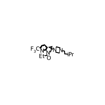 CCC(=O)N(CC1(N2CCN(CCC(C)C)CC2)CC1)c1cccc(C(F)(F)F)n1